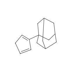 C1=CC(C23CC4CC(CC(C4)C2)C3)=CC1